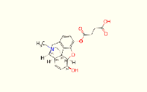 CN1CC[C@]23c4c5ccc(OC(=O)CCC(=O)O)c4O[C@H]2[C@@H](O)C=C[C@H]3[C@H]1C5